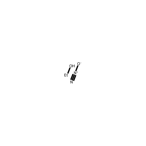 CCO.N#[N+][O-]